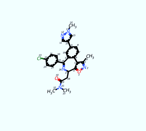 Cc1noc2c1-c1ccc(-c3cnn(C)c3)cc1C(c1ccc(Cl)cc1)=NC2CC(=O)N(C)C